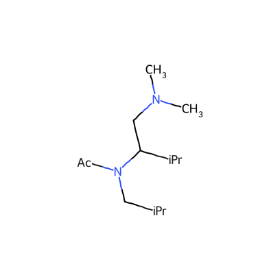 CC(=O)N(CC(C)C)C(CN(C)C)C(C)C